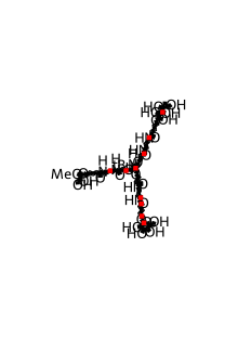 COC(OCCCCC(=O)NCCCNC(=O)CCOCC(COCCC(=O)NCCCNC(=O)CCCCOC(O)C(O)C(O)C(O)C(C)CO)(COCCC(=O)NCCCNC(=O)CCCCOC1OC(CO)C(O)C(O)C1O)NC(C)(C)C)[C@H](O)CO